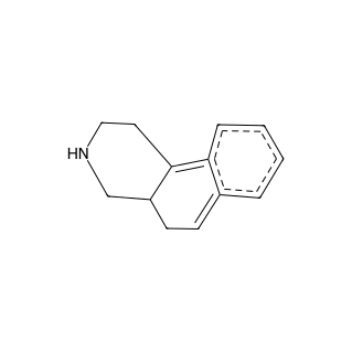 C1=c2ccccc2=C2CCNCC2C1